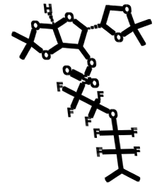 CC(C)C(F)(F)C(F)(F)OC(F)(F)C(F)(F)S(=O)(=O)OC1C2OC(C)(C)O[C@H]2O[C@@H]1C1COC(C)(C)O1